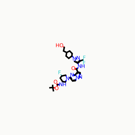 CC(C)(C)OC(=O)N[C@@H]1C[C@@H](F)CN(c2ccn3ncc(C(=O)Nc4cn(C5CCC(CCO)CC5)nc4C(F)F)c3n2)C1